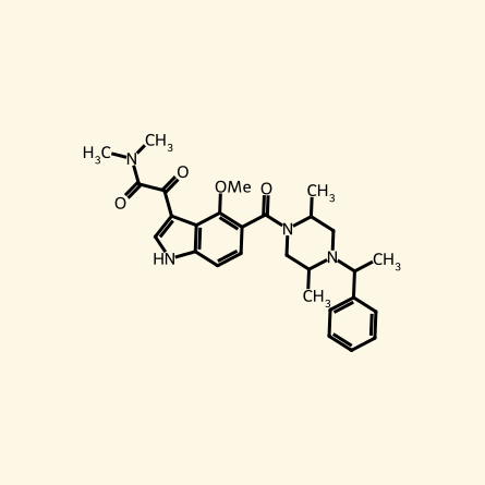 COc1c(C(=O)N2CC(C)N(C(C)c3ccccc3)CC2C)ccc2[nH]cc(C(=O)C(=O)N(C)C)c12